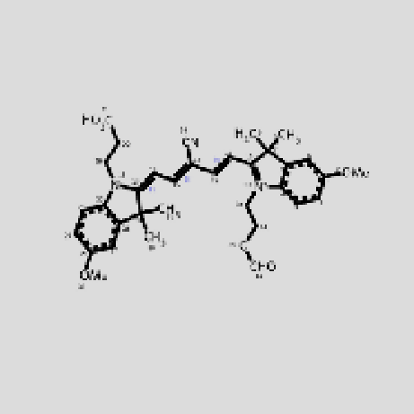 COc1ccc2c(c1)C(C)(C)C(/C=C/C(C#N)=C/C=C1/N(CCC(=O)O)c3ccc(OC)cc3C1(C)C)=[N+]2CCOC=O